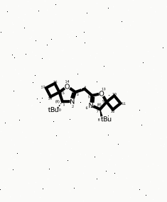 CC(C)(C)[C@H]1N=C(CC2=N[C@H](C(C)(C)C)C3(CCC3)O2)OC12CCC2